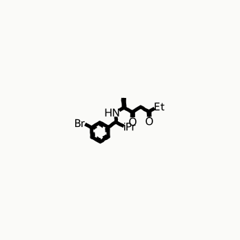 C=C(NC(c1cccc(Br)c1)C(C)C)C(=O)CC(=O)CC